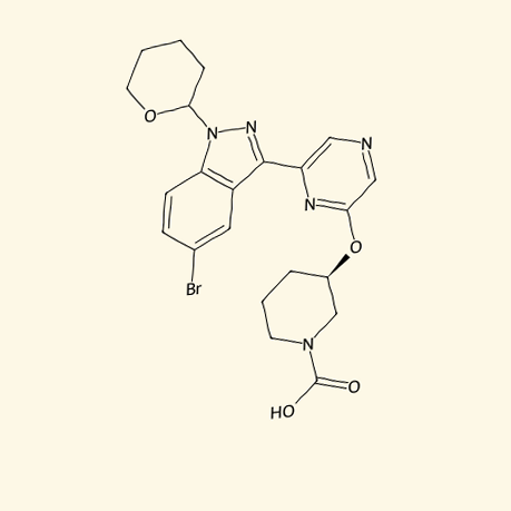 O=C(O)N1CCC[C@@H](Oc2cncc(-c3nn(C4CCCCO4)c4ccc(Br)cc34)n2)C1